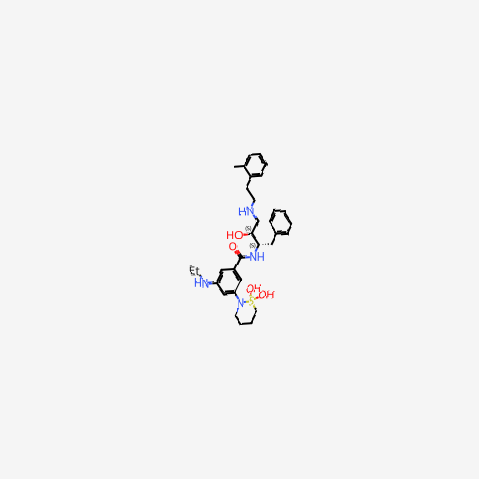 CCNc1cc(C(=O)N[C@@H](Cc2ccccc2)[C@@H](O)CNCCc2ccccc2C)cc(N2CCCCS2(O)O)c1